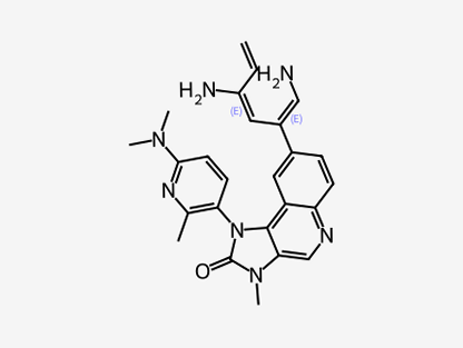 C=C/C(N)=C\C(=C/N)c1ccc2ncc3c(c2c1)n(-c1ccc(N(C)C)nc1C)c(=O)n3C